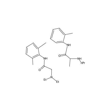 CCCNC(C)C(=O)Nc1ccccc1C.CCN(CC)CC(=O)Nc1c(C)cccc1C